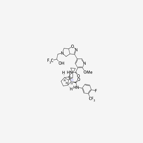 COc1ncc(C2=NOC3CN(CC(O)C(F)(F)F)CC23)cc1C(=O)N[C@H]1[C@@H](C(=O)Nc2ccc(F)c(C(F)(F)F)c2)[C@H]2CC[C@@H]1/C2=C\C1CC1